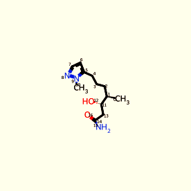 C[C@H](CCCc1ccnn1C)[C@@H](O)CC(N)=O